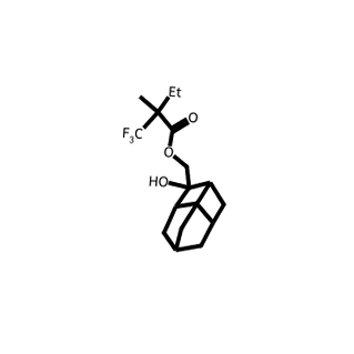 CCC(C)(C(=O)OCC1(O)C2CC3CC(C2)CC1C3)C(F)(F)F